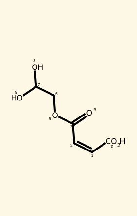 O=C(O)/C=C\C(=O)OCC(O)O